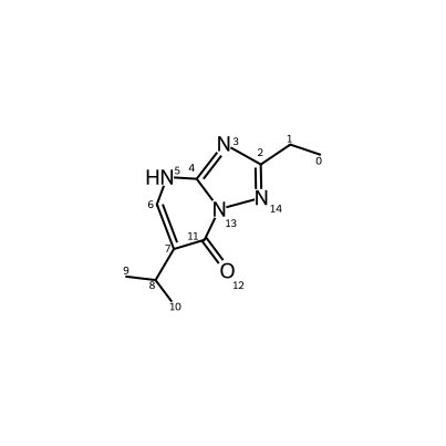 CCc1nc2[nH]cc(C(C)C)c(=O)n2n1